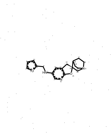 c1coc(CNc2cnc3c(c2)C[C@@]2(CN4CCC2CC4)O3)c1